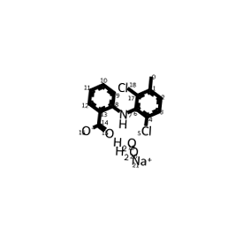 Cc1ccc(Cl)c(Nc2ccccc2C(=O)[O-])c1Cl.O.O.[Na+]